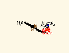 CCCCCCCCC(Br)C(Br)CCCCCCCC(=O)O[C@@H](CO)COP(=O)([O-])OCC[N+](C)(C)C